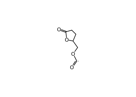 O=[C]OCC1CCC(=O)O1